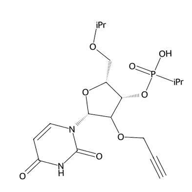 C#CCOC1[C@@H](OP(=O)(O)C(C)C)[C@@H](COC(C)C)O[C@H]1n1ccc(=O)[nH]c1=O